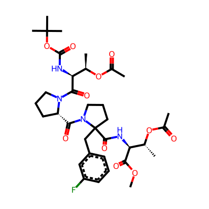 COC(=O)[C@@H](NC(=O)C1(Cc2cccc(F)c2)CCCN1C(=O)[C@@H]1CCCN1C(=O)[C@@H](NC(=O)OC(C)(C)C)[C@@H](C)OC(C)=O)[C@@H](C)OC(C)=O